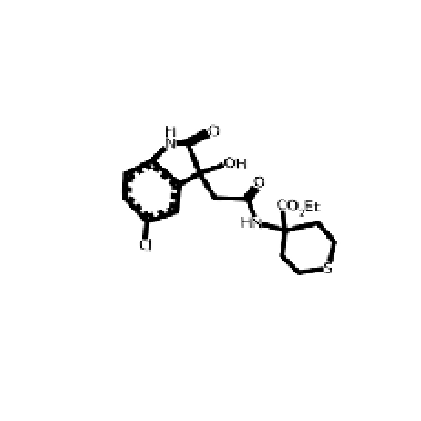 CCOC(=O)C1(NC(=O)CC2(O)C(=O)Nc3ccc(Cl)cc32)CCSCC1